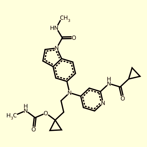 CNC(=O)OC1(CCN(c2ccnc(NC(=O)C3CC3)c2)c2ccc3c(ccn3C(=O)NC)c2)CC1